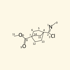 C/N=C(\Cl)C12CCC(C(=O)OC)(CC1)CC2